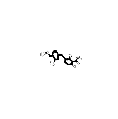 COCc1ccc(Cc2ccc(Cl)c(C(N)=O)c2Cl)cc1C